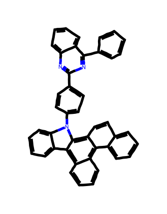 c1ccc(-c2nc(-c3ccc(-n4c5ccccc5c5c6ccccc6c6c7ccccc7ccc6c54)cc3)nc3ccccc23)cc1